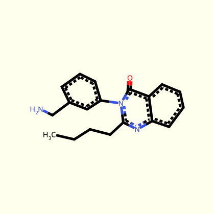 CCCCc1nc2ccccc2c(=O)n1-c1cccc(CN)c1